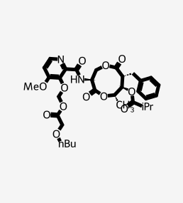 CCCCOCC(=O)OCOc1c(OC)ccnc1C(=O)N[C@H]1COC(=O)[C@H](Cc2ccccc2)[C@@H](OC(=O)C(C)C)[C@H](C)OC1=O